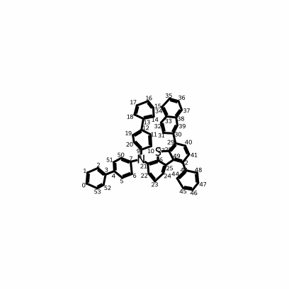 c1ccc(-c2ccc(N(c3ccc(-c4ccccc4)cc3)c3cccc4c3sc3c(-c5ccc6ccccc6c5)ccc(-c5ccccc5)c34)cc2)cc1